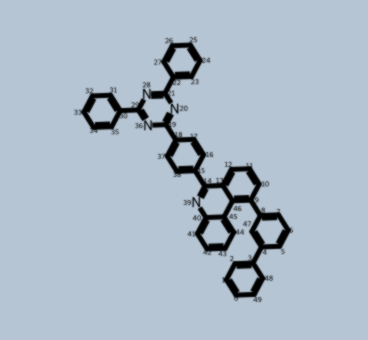 c1ccc(-c2cccc(-c3cccc4c(-c5ccc(-c6nc(-c7ccccc7)nc(-c7ccccc7)n6)cc5)nc5ccccc5c34)c2)cc1